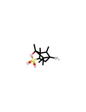 CC1C2(C)C3CC1(C(F)(F)F)C(C)(C)C2(C)OS3(=O)=O